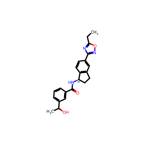 CCc1nc(-c2ccc3c(c2)CC[C@H]3NC(=O)c2cccc(C(C)O)c2)no1